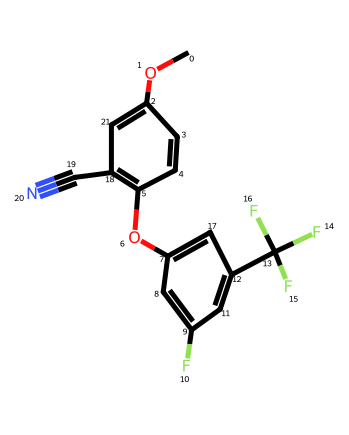 COc1ccc(Oc2cc(F)cc(C(F)(F)F)c2)c(C#N)c1